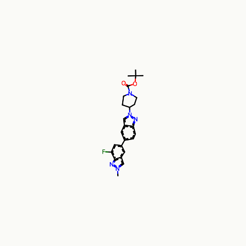 Cn1cc2cc(-c3ccc4nn(C5CCN(C(=O)OC(C)(C)C)CC5)cc4c3)cc(F)c2n1